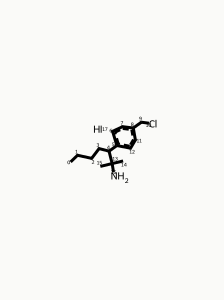 CCCCC(c1ccc(CCl)cc1)C(C)(C)N.I